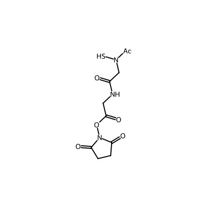 CC(=O)N(S)CC(=O)NCC(=O)ON1C(=O)CCC1=O